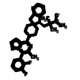 Cc1nc(N2CCC3(CC2)Cc2ncccc2[C@H]3CC(C)(C)[S+](N)[O-])c2ccnn2c1-c1cccc(F)c1F